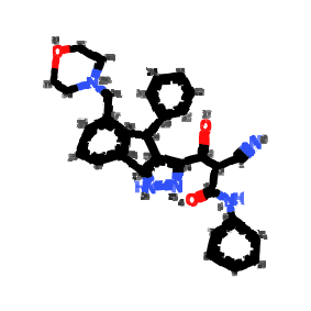 N#CC(C(=O)Nc1ccccc1)C(=O)c1n[nH]c2c1C(c1ccccc1)c1c(CN3CCOCC3)cccc1-2